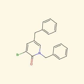 O=c1c(Br)cc(Cc2ccccc2)cn1Cc1ccccc1